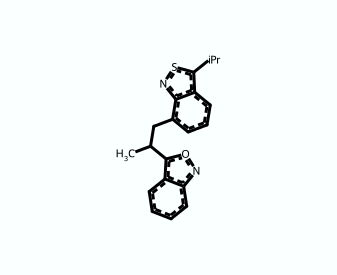 CC(C)c1snc2c(CC(C)c3onc4ccccc34)cccc12